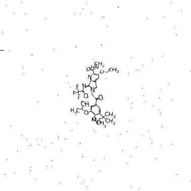 CCOc1cc2c(nc1C(=O)NC)C(=NC(=O)C(F)(F)F)N(CC(=O)c1cc(OC(C)C)c(OC)c(C(C)(C)C)c1)C2